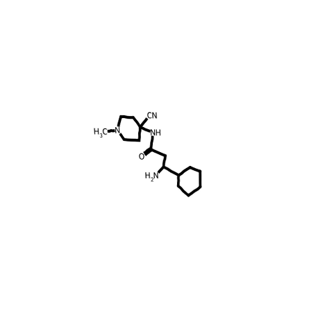 CN1CCC(C#N)(NC(=O)CC(N)C2CCCCC2)CC1